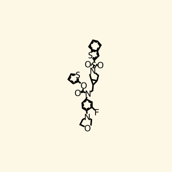 O=C(Oc1cccs1)N(CC1C2CN(S(=O)(=O)c3cc4ccccc4s3)CC12)c1ccc(N2CCOCC2)c(F)c1